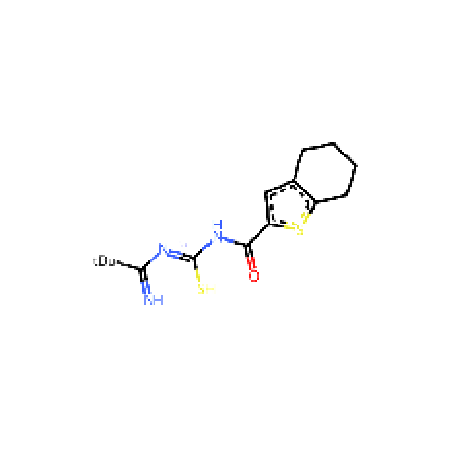 CC(C)(C)C(=N)/N=C(\S)NC(=O)c1cc2c(s1)CCCC2